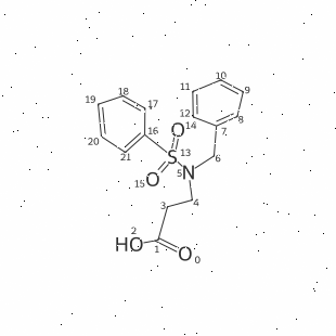 O=C(O)CCN(Cc1ccccc1)S(=O)(=O)c1[c]cccc1